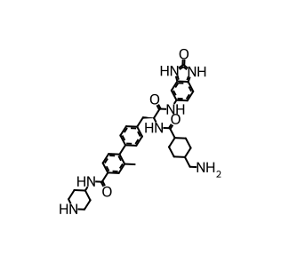 Cc1cc(C(=O)NC2CCNCC2)ccc1-c1ccc(C[C@H](NC(=O)C2CCC(CN)CC2)C(=O)Nc2ccc3[nH]c(=O)[nH]c3c2)cc1